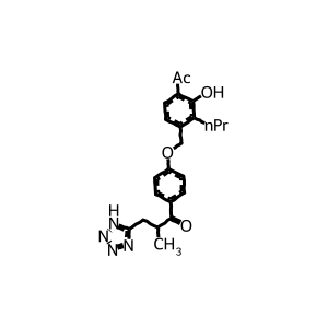 CCCc1c(COc2ccc(C(=O)C(C)Cc3nnn[nH]3)cc2)ccc(C(C)=O)c1O